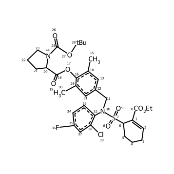 CCOC(=O)C1=CCCCC1S(=O)(=O)N(Cc1cc(C)c(OC(=O)C2CCCN2C(=O)OC(C)(C)C)c(C)c1)c1ccc(F)cc1Cl